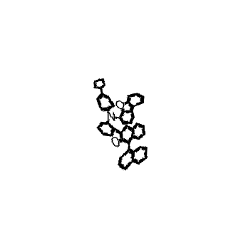 c1ccc(-c2ccc(N(c3cccc4c3oc3ccccc34)c3cccc4oc5c(-c6cccc7ccccc67)c6ccccc6cc5c34)cc2)cc1